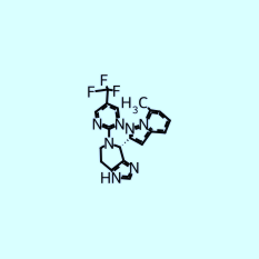 Cc1cccc2cc([C@@H]3c4nc[nH]c4CCN3c3ncc(C(F)(F)F)cn3)nn12